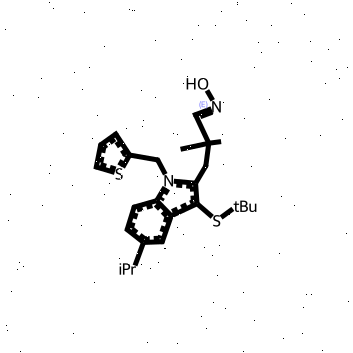 CC(C)c1ccc2c(c1)c(SC(C)(C)C)c(CC(C)(C)/C=N/O)n2Cc1cccs1